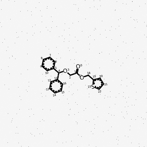 O=C(COC(c1ccccc1)c1ccccc1)OCc1cccs1